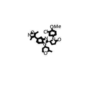 COc1ccc(N2C(=O)CC[C@H]2c2nc3cc(-c4c(C)noc4C)ccc3n2C2CCOC(C)C2)cc1Cl